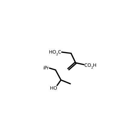 C=C(CC(=O)O)C(=O)O.CC(C)CC(C)O